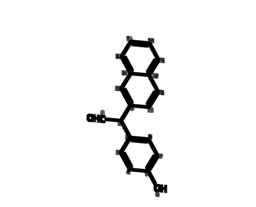 O=CC(c1ccc(O)cc1)c1ccc2ccccc2c1